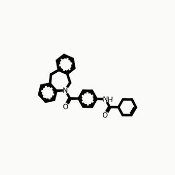 O=C(Nc1ccc(C(=O)N2Cc3ccccc3Cc3ccccc32)cc1)C1CC=CCC1